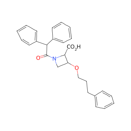 O=C(O)C1C(OCCCc2ccccc2)CN1C(=O)C(c1ccccc1)c1ccccc1